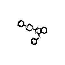 c1ccc(Oc2nc(N3CCN(c4ccccc4)CC3)nc3c2CCCC3)cc1